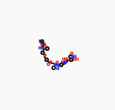 O=C(N[C@@H](c1ccccc1)c1cccc(OCc2ccc(C(=O)OCCN(C(=O)Nc3ccc(CNC[C@H](O)c4ccc(O)c5[nH]c(=O)ccc45)cc3)C3CCCCC3)cc2)c1)O[C@H]1CN2CCC1CC2